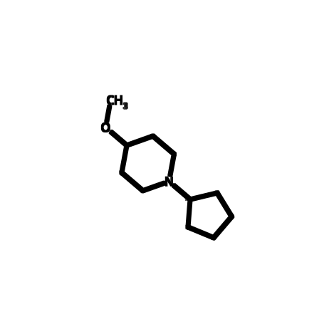 COC1CCN([C]2CCCC2)CC1